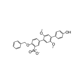 COc1cc(-c2ccc(OCc3ccccc3)c([N+](=O)[O-])c2)c(OC)cc1-c1ccc(O)cc1